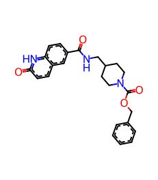 O=C(NCC1CCN(C(=O)OCc2ccccc2)CC1)c1ccc2[nH]c(=O)ccc2c1